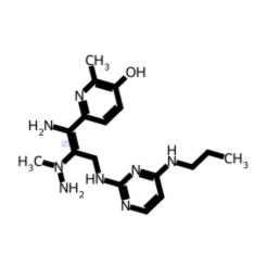 CCCNc1ccnc(NC/C(=C(/N)c2ccc(O)c(C)n2)N(C)N)n1